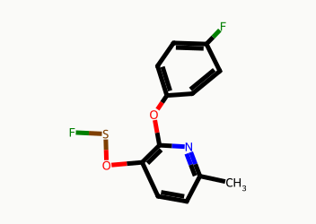 Cc1ccc(OSF)c(Oc2ccc(F)cc2)n1